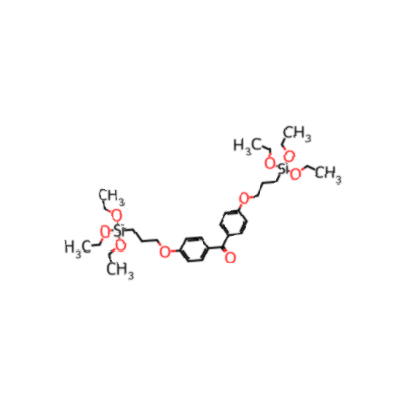 CCO[Si](CCCOc1ccc(C(=O)c2ccc(OCCC[Si](OCC)(OCC)OCC)cc2)cc1)(OCC)OCC